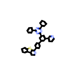 c1ccc(-c2nc(-c3ccccc3)nc(-c3cc(-c4ccc(-c5nccc6c5sc5ccccc56)cc4)cc(-c4cccnc4)c3)n2)cc1